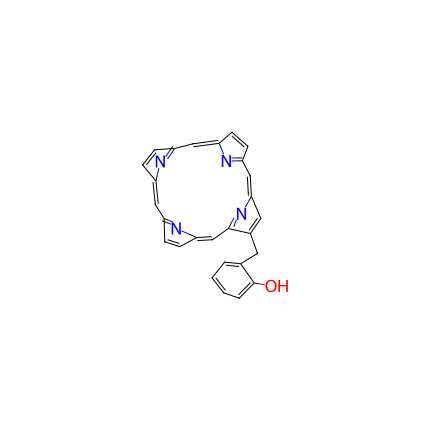 Oc1ccccc1CC1=CC2=CC3=NC(=CC4=NC(=CC5=NC(=CC1=N2)C=C5)C=C4)C=C3